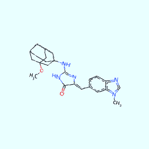 COC12CC3CC(CC(NC4=N/C(=C\c5ccc6ncn(C)c6c5)C(=O)N4)(C3)C1)C2